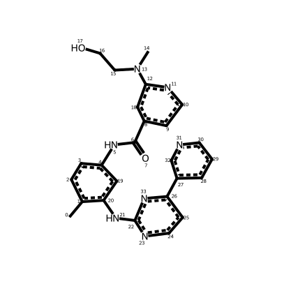 Cc1ccc(NC(=O)c2ccnc(N(C)CCO)c2)cc1Nc1nccc(-c2cccnc2)n1